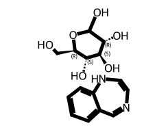 C1=CNc2ccccc2C=N1.OC[C@H]1OC(O)[C@H](O)[C@@H](O)[C@@H]1O